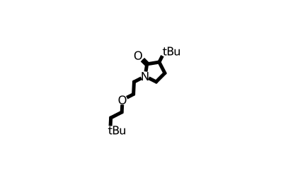 CC(C)(C)CCOCCN1CCC(C(C)(C)C)C1=O